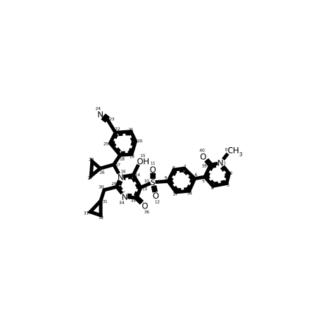 Cn1cccc(-c2ccc(S(=O)(=O)c3c(O)n(C(c4cccc(C#N)c4)C4CC4)c(CC4CC4)nc3=O)cc2)c1=O